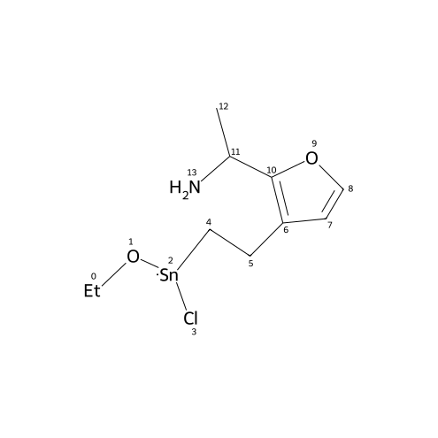 CC[O][Sn]([Cl])[CH2]Cc1ccoc1C(C)N